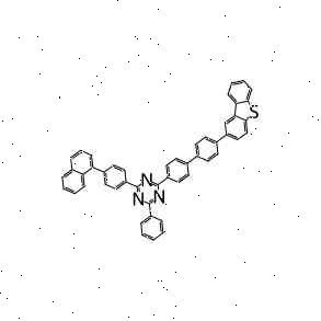 c1ccc(-c2nc(-c3ccc(-c4ccc(-c5ccc6sc7ccccc7c6c5)cc4)cc3)nc(-c3ccc(-c4cccc5ccccc45)cc3)n2)cc1